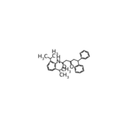 CC(C)c1cccc(C(C)C)c1NC(=O)CC(=O)CC(c1ccccc1)c1ccccc1